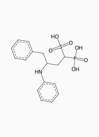 O=P(O)(O)C(CC(Cc1ccccc1)Nc1ccccc1)S(=O)(=O)O